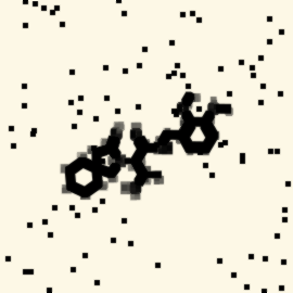 COc1cccc(CNC(=O)[C@H]([C@@H](C)O)N2CC3(CCCCC3)CC2=O)c1OC